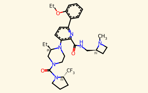 CCOc1ccccc1-c1ccc(N2CCN(C(=O)N3CCC[C@H]3C(F)(F)F)C[C@H]2CC)c(C(=O)NC[C@@H]2CCN2C)n1